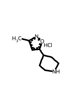 Cc1cc(C2CCNCC2)on1.Cl